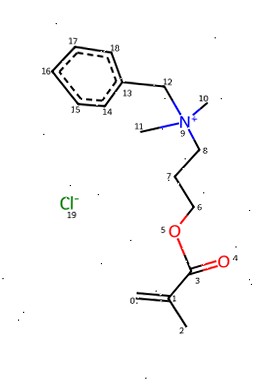 C=C(C)C(=O)OCCC[N+](C)(C)Cc1ccccc1.[Cl-]